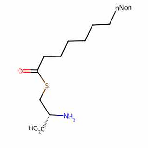 CCCCCCCCCCCCCCCC(=O)SC[C@H](N)C(=O)O